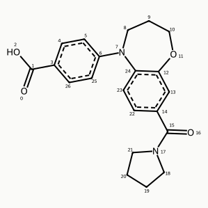 O=C(O)c1ccc(N2CCCOc3cc(C(=O)N4CCCC4)ccc32)cc1